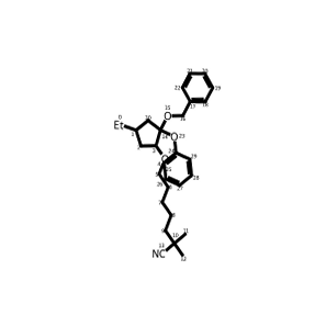 CCC1CC(OCCCCCC(C)(C)C#N)C(OCc2ccccc2)(Oc2ccccc2)C1